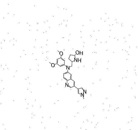 COc1cc(OC)cc(N(CC2CCC(O)N2)c2ccc3ncc(-c4cnn(C)c4)cc3c2)c1